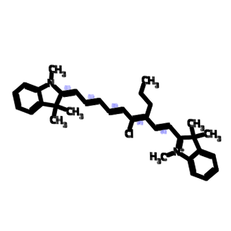 CCCC(/C=C/C1=[N+](C)c2ccccc2C1(C)C)=C(Cl)\C=C\C=C\C=C1\N(C)c2ccccc2C1(C)C